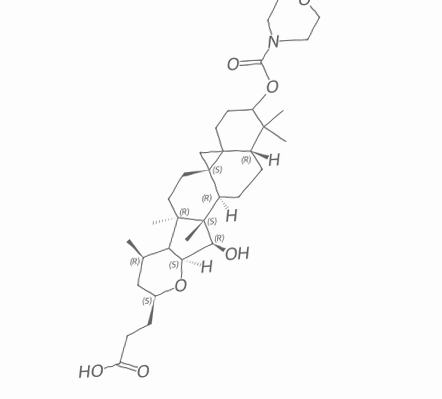 C[C@@H]1C[C@H](CCC(=O)O)O[C@H]2C1[C@@]1(C)CC[C@@]34CC35CCC(OC(=O)N3CCOCC3)C(C)(C)[C@@H]5CC[C@H]4[C@]1(C)[C@H]2O